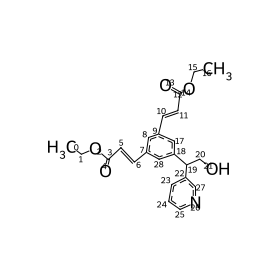 CCOC(=O)C=Cc1cc(C=CC(=O)OCC)cc(C(CO)c2cccnc2)c1